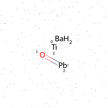 [BaH2].[O]=[Pb].[Ti]